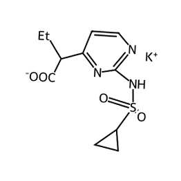 CCC(C(=O)[O-])c1ccnc(NS(=O)(=O)C2CC2)n1.[K+]